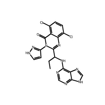 CCC(Nc1ncnc2[nH]cnc12)c1nc2c(Cl)ccc(Cl)c2c(=O)n1-c1cc[nH]n1